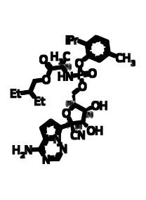 CCC(CC)COC(=O)[C@H](C)NP(=O)(OC[C@H]1O[C@@](C#N)(c2ccc3c(N)ncnn23)[C@H](O)[C@@H]1O)Oc1cc(C)ccc1C(C)C